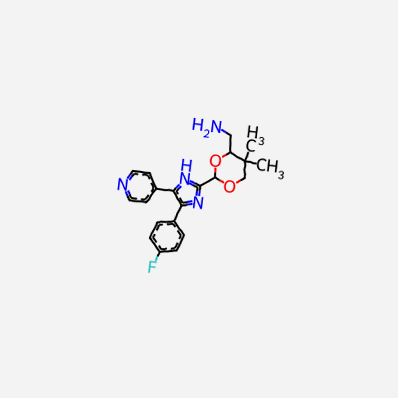 CC1(C)COC(c2nc(-c3ccc(F)cc3)c(-c3ccncc3)[nH]2)OC1CN